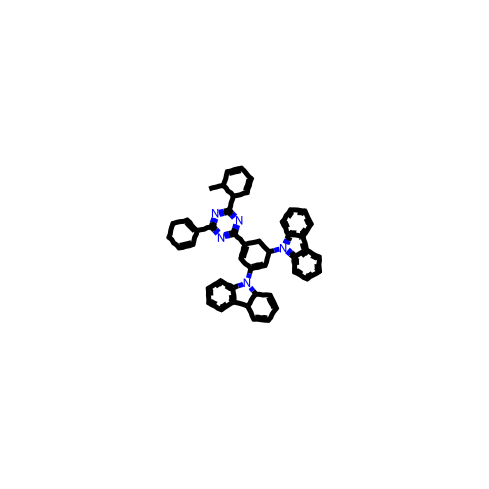 CC1C=CC=CC1c1nc(C2=CCCC=C2)nc(C2=CC(N3c4ccccc4C4C=CC=CC43)=CC(n3c4ccccc4c4ccccc43)C2)n1